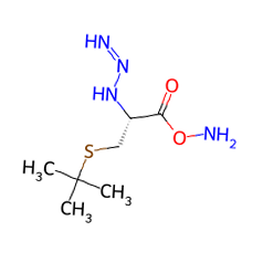 CC(C)(C)SC[C@H](NN=N)C(=O)ON